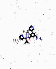 Cc1ccnc(C(NC(=O)c2cc(CN)cc(-c3cnccc3C)c2)C2CC2)c1